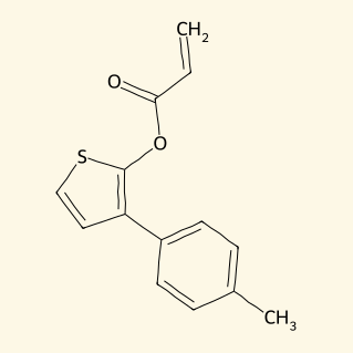 C=CC(=O)Oc1sccc1-c1ccc(C)cc1